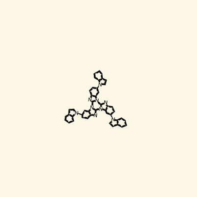 c1ccc2c(c1)ccn2-c1ccc2nc3n(c2c1)c1nc2ccc(-n4ccc5ccccc54)cc2n1c1nc2ccc(-n4ccc5ccccc54)cc2n31